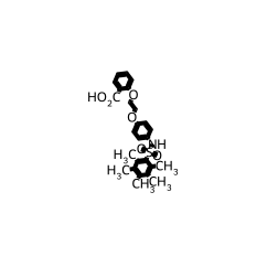 Cc1c(C)c(C)c(S(=O)(=O)Nc2ccc(OCCOc3ccccc3C(=O)O)cc2)c(C)c1C